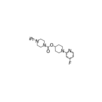 CC(C)N1CCN(C(=O)OC2CCN(c3cc(F)ccn3)CC2)CC1